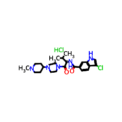 CC(C)[C@@H](NC(=O)c1ccc2c(Cl)c[nH]c2c1)C(=O)N1CCN(C2CCN(C)CC2)CC1.Cl